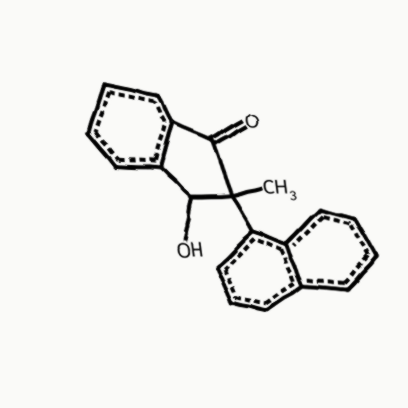 CC1(c2cccc3ccccc23)C(=O)c2ccccc2C1O